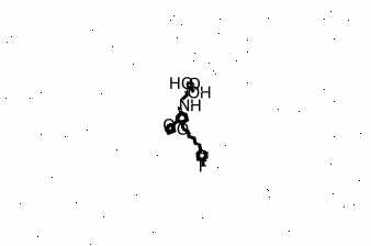 O=P(O)(O)CCCNCc1ccc(OCCCCCc2ccc(F)cc2)c(-c2ccco2)c1